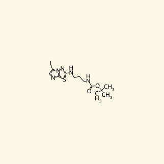 CC(C)(C)OC(=O)NCCCNc1nn2c(I)cnc2s1